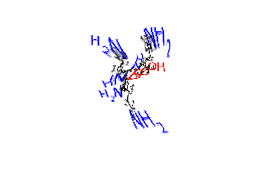 NCCC[C@@H](N)C(=O)N[C@H](CCCN)C(=O)N[C@H](CCCN)C(=O)O